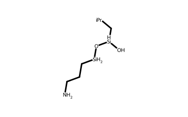 CC(C)C[SiH](O)O[SiH2]CCCN